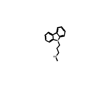 CNCCCn1c2ccccc2c2ccccc21